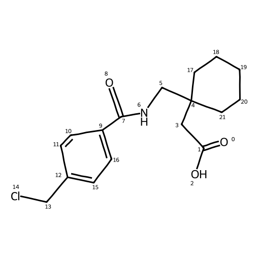 O=C(O)CC1(CNC(=O)c2ccc(CCl)cc2)CCCCC1